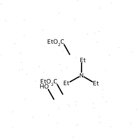 CCN(CC)CC.CCOC(C)=O.CCOC(C)=O.CO